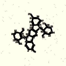 Cc1ccc2c(c1)c1cc3c(cc1n2-c1c(C)cccc1C)c1cc(C)ccc1n3-c1c(C)cccc1C